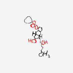 CCCCC[C@H](O)CC[C@@H]1[C@H]2Cc3cccc(OCC(=O)OC4CCCCCCCCCC4)c3C[C@H]2C[C@H]1O